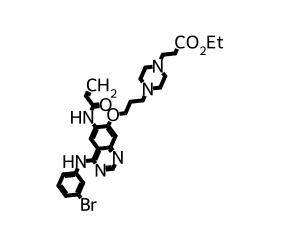 C=CC(=O)Nc1cc2c(Nc3cccc(Br)c3)ncnc2cc1OCCCN1CCN(CCC(=O)OCC)CC1